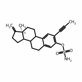 C=C1CCC2C3CCc4cc(OS(N)(=O)=O)c(C#CC)cc4C3CC[C@]12C